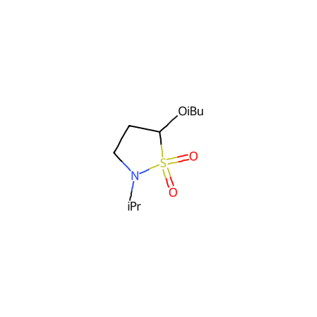 CC(C)COC1CCN(C(C)C)S1(=O)=O